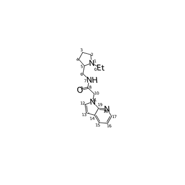 CCN1CCCC1CNC(=O)Cn1c[c]c2cccnc21